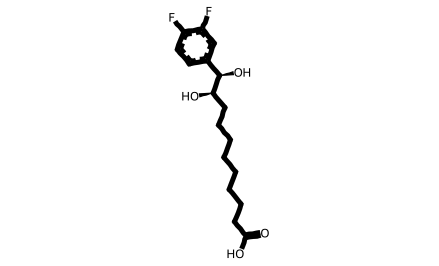 O=C(O)CCCCCCCC[C@@H](O)[C@H](O)c1ccc(F)c(F)c1